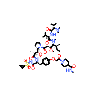 CC[C@H](C)[C@@H]([C@@H](CC(=O)N1CCC[C@H]1[C@H](OC)[C@@H](C)C(=O)N[C@@H](Cc1ccc(OCC(=O)N2CCC(C(=O)NC)CC2)cc1)C(=O)NS(=O)(=O)C1CC1)OC)N(C)C(=O)[C@@H](NC(=O)[C@H](C(C)C)N(C)C)C(C)C